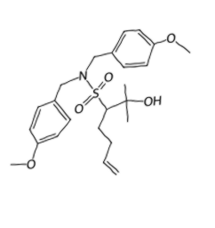 C=CCCC(C(C)(C)O)S(=O)(=O)N(Cc1ccc(OC)cc1)Cc1ccc(OC)cc1